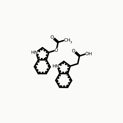 CC(=O)Oc1c[nH]c2ccccc12.O=C(O)Cc1c[nH]c2ccccc12